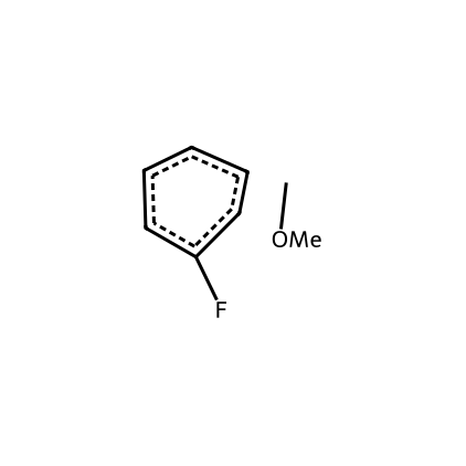 COC.Fc1ccccc1